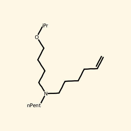 C=CCCCCN(CCCCC)CCCCOC(C)C